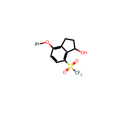 CC(C)Oc1ccc(S(=O)(=O)C(F)(F)F)c2c1CCC2O